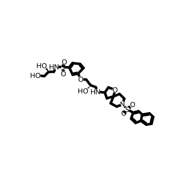 O=S(=O)(NC[C@H](O)CO)c1cccc(OC[C@@H](O)CNC2COC3(CCN(S(=O)(=O)c4ccc5ccccc5c4)CC3)C2)c1